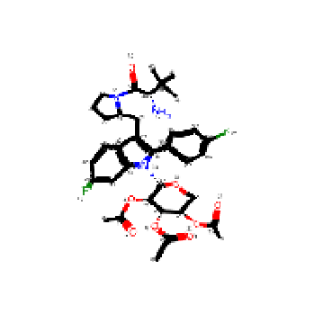 CC(=O)O[C@@H]1[C@@H](OC(C)=O)[C@H](OC(C)=O)CO[C@H]1n1c(-c2ccc(F)cc2)c(CC2CCCN2C(=O)[C@@H](N)C(C)(C)C)c2ccc(F)cc21